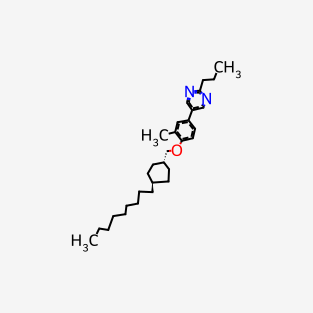 CCCCCCCCC[C@H]1CC[C@H](COc2ccc(-c3cnc(CCC)nc3)cc2C)CC1